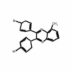 Cc1cccc2nc(C3C=CC(Br)=CC3)c(C3=CCC(Br)C=C3)nc12